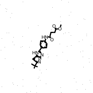 COC(=O)CCC(=O)Nc1ccc(-c2nn3nc(C(C)(C)C)cc3[nH]2)cc1